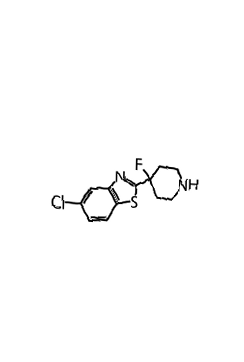 FC1(c2nc3cc(Cl)ccc3s2)CCNCC1